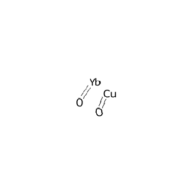 [O]=[Cu].[O]=[Yb]